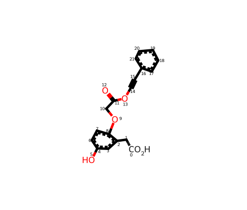 O=C(O)Cc1cc(O)ccc1OCC(=O)OC#Cc1ccccc1